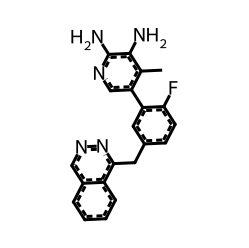 Cc1c(-c2cc(Cc3nncc4ccccc34)ccc2F)cnc(N)c1N